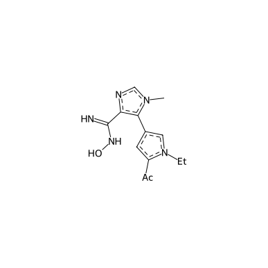 CCn1cc(-c2c(C(=N)NO)ncn2C)cc1C(C)=O